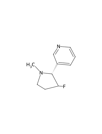 CN1CCC(F)[C@H]1c1cccnc1